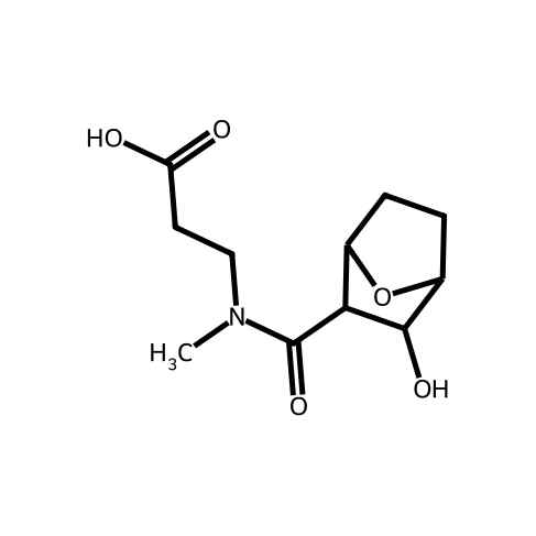 CN(CCC(=O)O)C(=O)C1C2CCC(O2)C1O